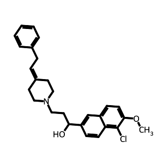 COc1ccc2cc(C(O)CCN3CCC(=CCc4ccccc4)CC3)ccc2c1Cl